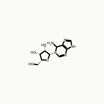 NC1c2nc[nH]c2N=CN1[C@@H]1O[C@H](CO)[C@H](O)[C@@H]1O